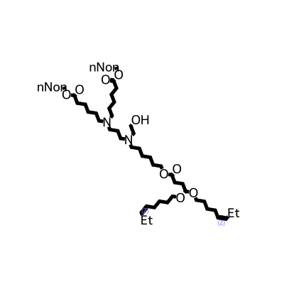 CC/C=C\CCCCOC(CCC(=O)OCCCCCCN(CCO)CCCN(CCCCCC(=O)OCCCCCCCCC)CCCCCC(=O)OCCCCCCCCC)OCCCC/C=C\CC